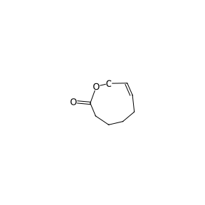 O=C1CCCCC=CCO1